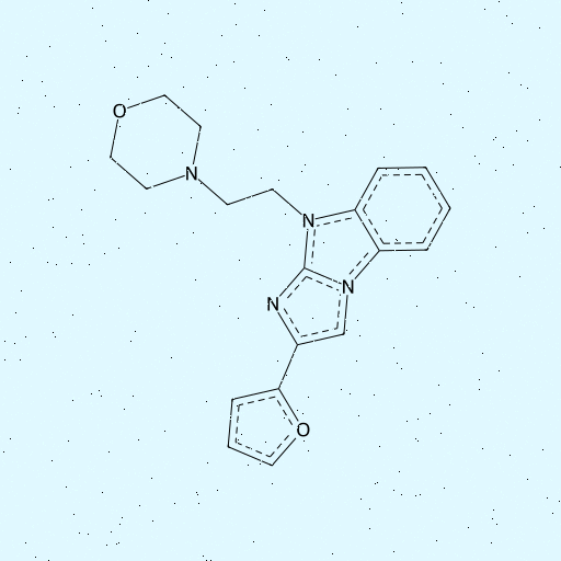 c1coc(-c2cn3c4ccccc4n(CCN4CCOCC4)c3n2)c1